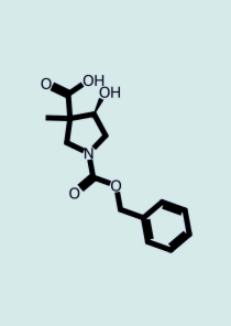 CC1(C(=O)O)CN(C(=O)OCc2ccccc2)C[C@@H]1O